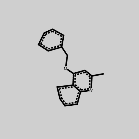 Cc1cc(OCc2ccccc2)c2ccccc2n1